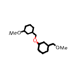 COCC1CCCC(OCC2CCCC(OC)C2)C1